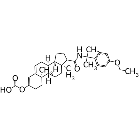 CCOc1ccc(C(C)(C)NC(=O)C2CC[C@H]3[C@@H]4CC=C5C=C(OC(=O)O)CC[C@]5(C)[C@H]4CC[C@]23C)cc1